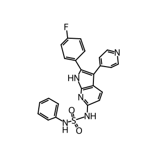 O=S(=O)(Nc1ccccc1)Nc1ccc2c(-c3ccncc3)c(-c3ccc(F)cc3)[nH]c2n1